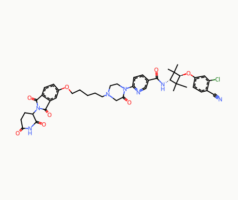 CC1(C)[C@H](NC(=O)c2ccc(N3CCN(CCCCCOc4ccc5c(c4)C(=O)N(C4CCC(=O)NC4=O)C5=O)CC3=O)nc2)C(C)(C)[C@H]1Oc1ccc(C#N)c(Cl)c1